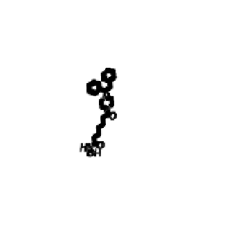 O=C(CCCCCC(=O)N1CCN(C(Cc2ccccc2)c2ccccc2)CC1)NO